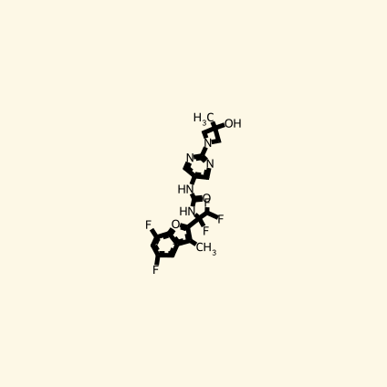 Cc1c(C(F)(NC(=O)Nc2cnc(N3CC(C)(O)C3)nc2)C(F)F)oc2c(F)cc(F)cc12